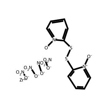 O=[N+]([O-])[O-].O=[N+]([O-])[O-].O=[N+]([O-])[O-].O=[N+]([O-])[O-].[O-][n+]1ccccc1SSc1cccc[n+]1[O-].[Zr+4]